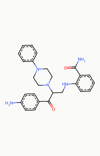 NC(=O)c1ccccc1NCC(C(=O)c1ccc(N)cc1)N1CCN(c2ccccc2)CC1